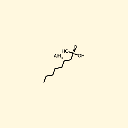 CCCCCCCP(=O)(O)O.[AlH3]